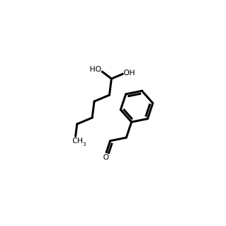 CCCCCC(O)O.O=CCc1ccccc1